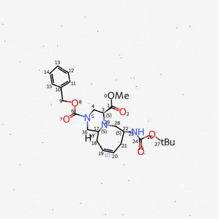 COC(=O)[C@@H]1CN(C(=O)OCc2ccccc2)C[C@@H]2C/C=C\C[C@H](NC(=O)OC(C)(C)C)CN21